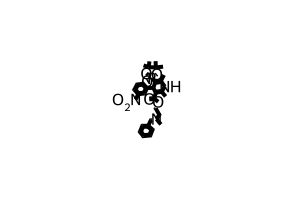 CC1=C(C(=O)OCCN(C)Cc2ccccc2)C(c2cccc([N+](=O)[O-])c2)C(P2(=O)OC(C)(C)C(C)(C)O2)=C(C)N1